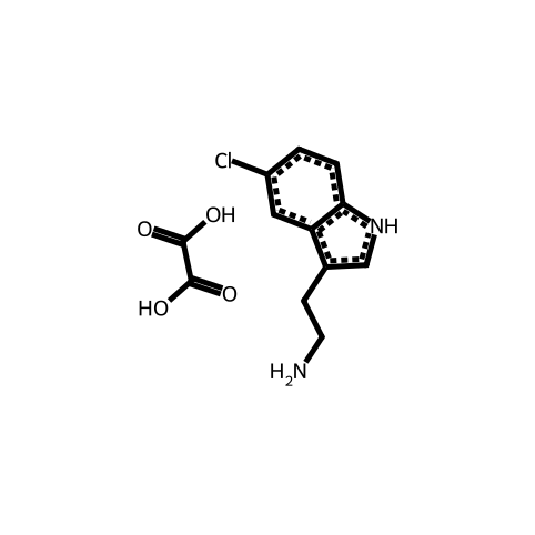 NCCc1c[nH]c2ccc(Cl)cc12.O=C(O)C(=O)O